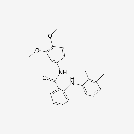 COc1ccc(NC(=O)c2ccccc2Nc2cccc(C)c2C)cc1OC